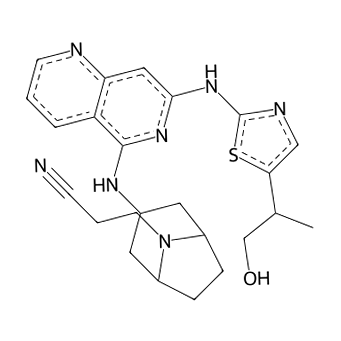 CC(CO)c1cnc(Nc2cc3ncccc3c(NC3CC4CCC(C3)N4CCC#N)n2)s1